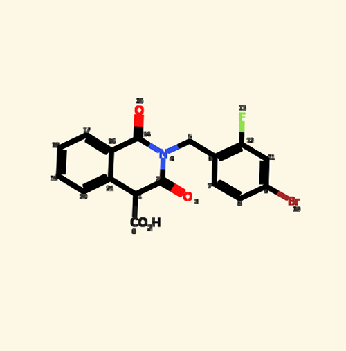 O=C(O)C1C(=O)N(Cc2ccc(Br)cc2F)C(=O)c2ccccc21